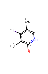 Cc1[c][nH]c(=O)c(C)c1I